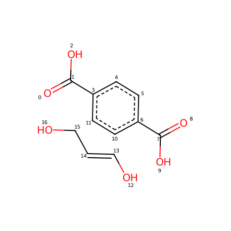 O=C(O)c1ccc(C(=O)O)cc1.OC=CCO